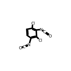 O=C=Nc1ccc(Cl)c(N=C=O)c1Cl